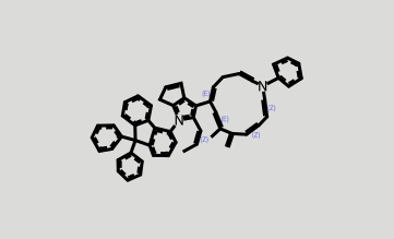 C=C1/C=C\C=C/N(c2ccccc2)C=CC/C=C(c2c3c(n(-c4cccc5c4-c4ccccc4C5(c4ccccc4)c4ccccc4)c2/C=C\C)CC=C3)\C=C\1C